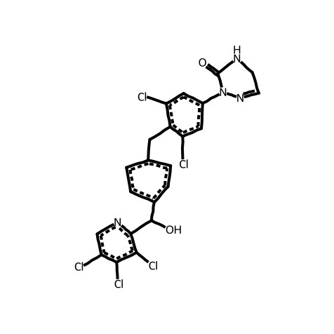 O=C1NCC=NN1c1cc(Cl)c(Cc2ccc(C(O)c3ncc(Cl)c(Cl)c3Cl)cc2)c(Cl)c1